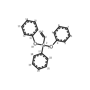 C=C[Si](Oc1ccccc1)(Oc1ccccc1)c1ccccc1